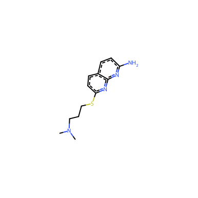 CN(C)CCCSc1ccc2ccc(N)nc2n1